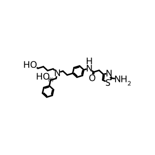 Nc1nc(CC(=O)Nc2ccc(CCN(CCCCO)C[C@H](O)c3ccccc3)cc2)cs1